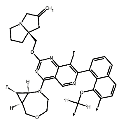 [2H]C([2H])(F)Oc1c(F)ccc2cccc(-c3ncc4c(N5CCOC[C@H]6[C@H](F)[C@H]65)nc(OC[C@@]56CCCN5CC(=C)C6)nc4c3F)c12